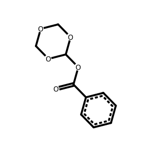 O=C(OC1OCOCO1)c1ccccc1